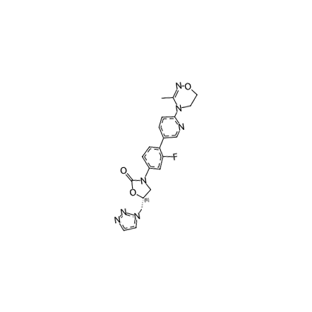 CC1=NOCCN1c1ccc(-c2ccc(N3C[C@H](Cn4ccnn4)OC3=O)cc2F)cn1